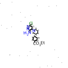 CCOC(=O)c1ccc([C@H]2CCCN(c3cc(Cl)nnc3N)C2)cc1